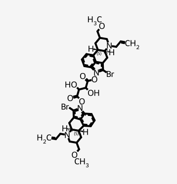 C=CCN1CC(COC)C[C@H]2c3cccc4c3c(c(Br)n4OC(=O)C(O)C(O)C(=O)On3c(Br)c4c5c(cccc53)[C@@H]3CC(COC)CN(CC=C)[C@H]3C4)C[C@@H]21